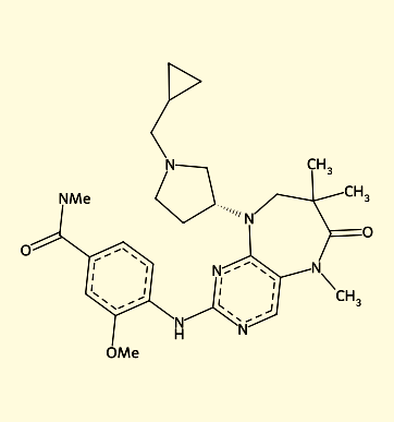 CNC(=O)c1ccc(Nc2ncc3c(n2)N([C@@H]2CCN(CC4CC4)C2)CC(C)(C)C(=O)N3C)c(OC)c1